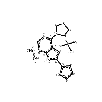 CC(C)(O)[C@H]1CCCN1c1ncnc2[nH]c(-c3cccs3)cc12.O=CO